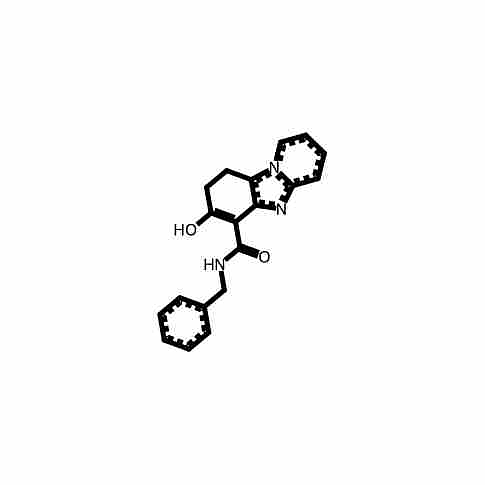 O=C(NCc1ccccc1)C1=C(O)CCc2c1nc1ccccn21